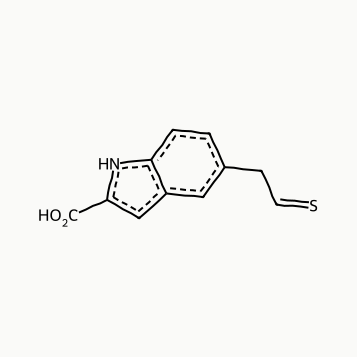 O=C(O)c1cc2cc(CC=S)ccc2[nH]1